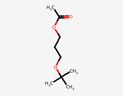 CC(=O)OCCCOC(C)(C)C